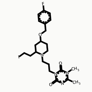 Cc1nc(=O)n(CCCN2CCC(OCc3ccc(F)cc3)CC2CCI)c(=O)n1C